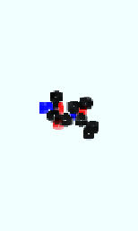 c1ccc(C2Nc3ccc4oc5ccc(N(c6ccc(-c7cccc8ccccc78)cc6)c6cccc7c6oc6ccccc67)cc5c4c3O2)cc1